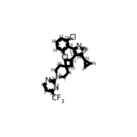 FC(F)(F)c1ccnc(N2CCC3(C=C(c4c(-c5c(Cl)cccc5Cl)noc4C4CC4)C3)CC2)n1